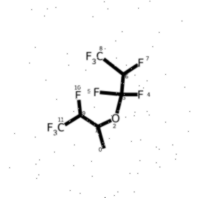 CC(OC(F)(F)C(F)C(F)(F)F)C(F)C(F)(F)F